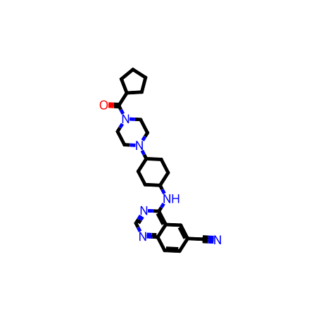 N#Cc1ccc2ncnc(NC3CCC(N4CCN(C(=O)C5CCCC5)CC4)CC3)c2c1